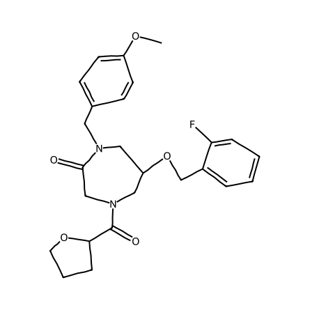 COc1ccc(CN2CC(OCc3ccccc3F)CN(C(=O)C3CCCO3)CC2=O)cc1